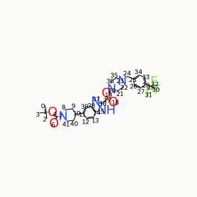 CC(C)(C)OC(=O)N1CCC(c2ccc3[nH]c(C(=O)ON4CCN(Cc5ccc(C(F)(F)F)cc5)CC4)nc3c2)CC1